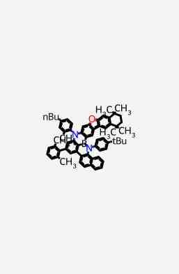 CCCCc1ccc(N2c3cc4oc5cc6c(cc5c4cc3B3c4c(cc(-c5c(C)cccc5C)cc42)-c2ccc4ccccc4c2N3c2ccc(C(C)(C)C)cc2)C(C)(C)CCC6(C)C)c(C)c1